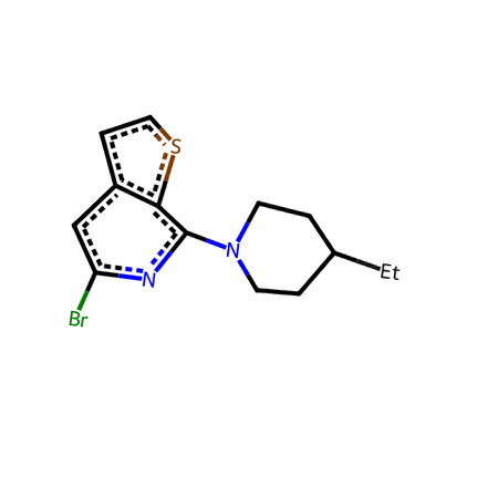 CCC1CCN(c2nc(Br)cc3ccsc23)CC1